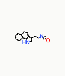 O=C=NCCc1c[nH]c2c1ccc1ccccc12